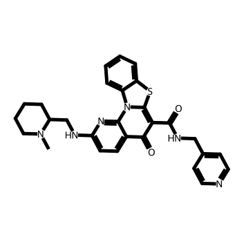 CN1CCCCC1CNc1ccc2c(=O)c(C(=O)NCc3ccncc3)c3sc4ccccc4n3c2n1